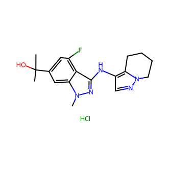 Cl.Cn1nc(Nc2cnn3c2CCCC3)c2c(F)cc(C(C)(C)O)cc21